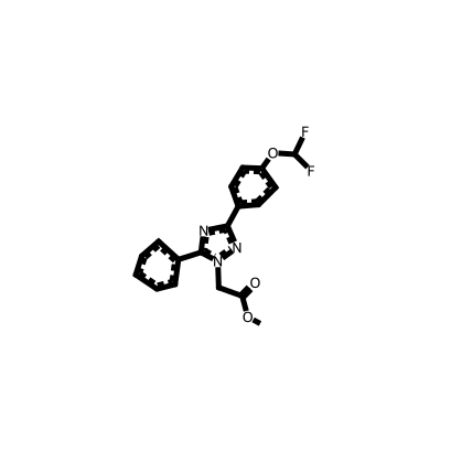 COC(=O)Cn1nc(-c2ccc(OC(F)F)cc2)nc1-c1ccccc1